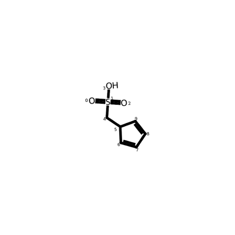 O=S(=O)(O)CC1C=CC=C1